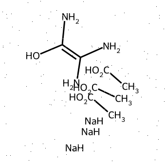 CC(=O)O.CC(=O)O.CC(=O)O.NC(N)=C(N)O.[NaH].[NaH].[NaH]